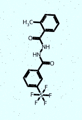 Cc1ccccc1C(=O)NNC(=O)c1cccc(S(F)(F)(F)(F)F)c1